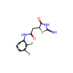 N=C1NC(=O)C(CC(=O)Nc2cccc(F)c2F)S1